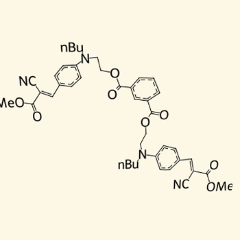 CCCCN(CCOC(=O)c1cccc(C(=O)OCCN(CCCC)c2ccc(/C=C(\C#N)C(=O)OC)cc2)c1)c1ccc(/C=C(\C#N)C(=O)OC)cc1